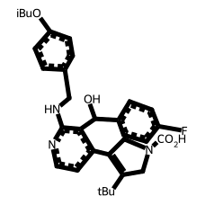 CC(C)COc1ccc(CNc2nccc(C3=C(C(C)(C)C)CN(C(=O)O)C3)c2C(O)c2ccc(F)cc2)cc1